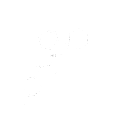 Cc1ccc(NC(=O)NCC2(c3ccccc3)CCCCC2)cc1